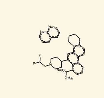 COC(OC)c1cccc2c1c(C1CCN(CC(F)F)CC1)cc1c3c(ccc12)CCCC3.c1cnc2ncccc2c1